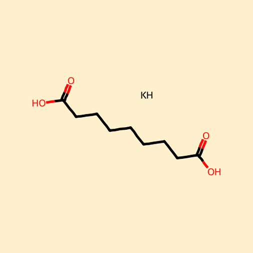 O=C(O)CCCCCCCC(=O)O.[KH]